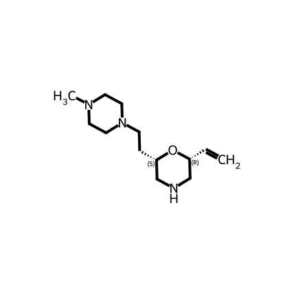 C=C[C@@H]1CNC[C@H](CCN2CCN(C)CC2)O1